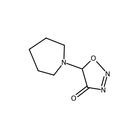 O=C1N=NOC1N1CCCCC1